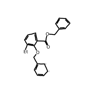 CCc1cccc(C(=O)OCc2ccccc2)c1OCC1=CC=C[C][C]1